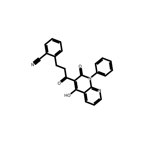 N#Cc1ccccc1CCC(=O)c1c(O)c2cccnc2n(-c2ccccc2)c1=O